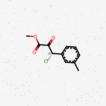 COC(=O)C(=O)[C@@H](Cl)c1cccc(C)c1